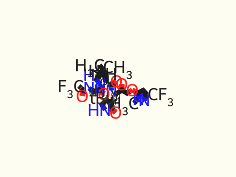 Cn1nc(C(F)(F)F)cc1OCC(=O)[C@H](C[C@@H]1CCNC1=O)NC(=O)[C@@H]1[C@@H]2[C@H](CN1C(=O)[C@@H](NC(=O)C(F)(F)F)C(C)(C)C)C2(C)C